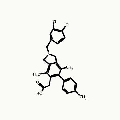 Cc1ccc(-c2c(C)c3c(c(C)c2CC(=O)O)CN(Cc2ccc(Cl)c(Cl)c2)C3)cc1